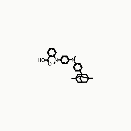 CN(c1ccc(N(C)c2ccccc2C(=O)O)cc1)c1ccc(C23CC4CC(C)(CC(C)(C4)C2)C3)cc1